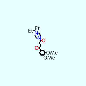 CCC(CC)N1CCN(C(=O)CCC(=O)c2ccc(OC)c(OC)c2)CC1